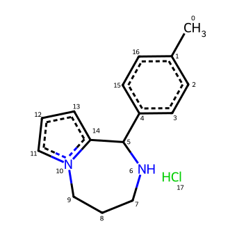 Cc1ccc(C2NCCCn3cccc32)cc1.Cl